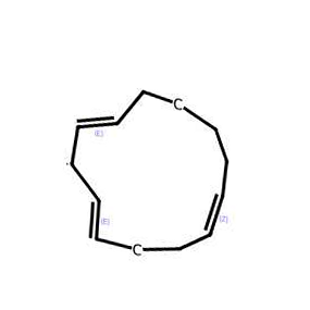 [CH]1/C=C/CC/C=C\CCCC/C=C/1